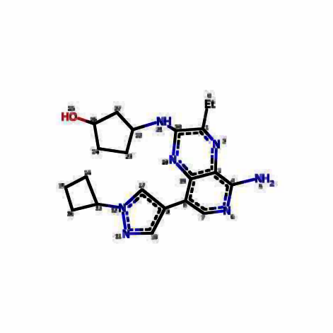 CCc1nc2c(N)ncc(-c3cnn(C4CCC4)c3)c2nc1NC1CCC(O)C1